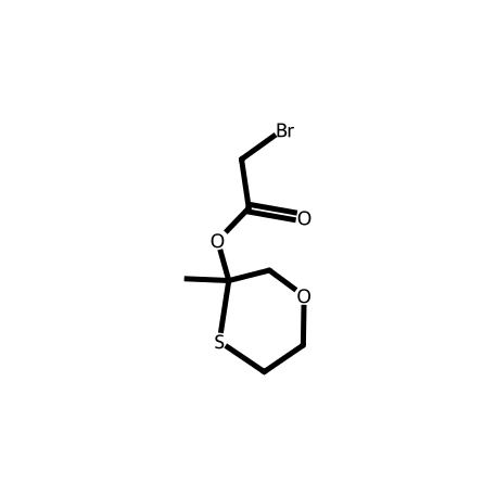 CC1(OC(=O)CBr)COCCS1